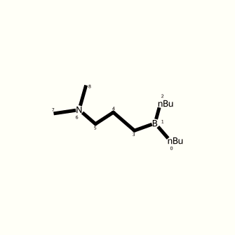 CCCCB(CCCC)CCCN(C)C